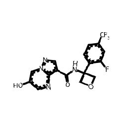 O=C(NC1(c2ccc(C(F)(F)F)cc2F)COC1)c1cnn2cc(O)cnc12